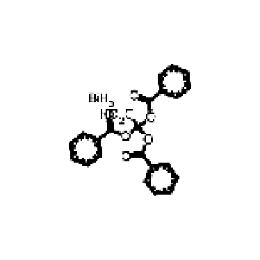 O=C(OC(OC(=O)c1ccccc1)(OC(=O)c1ccccc1)C(=O)O)c1ccccc1.[BiH3]